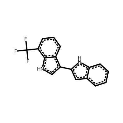 FC(F)(F)c1cccc2c(-c3cc4ccccc4[nH]3)c[nH]c12